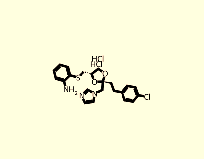 Cl.Cl.Nc1ccccc1SC[C@@H]1CO[C@](CCc2ccc(Cl)cc2)(Cn2ccnc2)O1